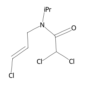 CC(C)N(CC=CCl)C(=O)C(Cl)Cl